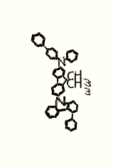 CC1(C)c2cc(N(c3ccccc3)c3ccc(-c4ccccc4)cc3)ccc2-c2ccc(-n3c4ccccc4c4c(-c5ccccc5)cccc43)cc21